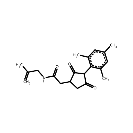 C=C(C)CNC(=O)CC1CC(=O)C(c2c(C)cc(C)cc2C)C1=O